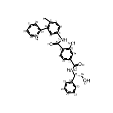 Cc1ccc(NC(=O)c2ccc(C(=O)N[C@H](CO)c3ccccc3)cc2Cl)cc1-c1ccccn1